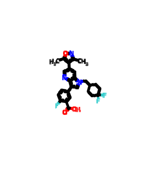 Cc1noc(C)c1-c1cnc2c(-c3ccc(F)c(C(=O)O)c3)cn(CC3CCC(F)(F)CC3)c2c1